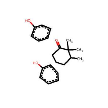 CC1CCCC(=O)C1(C)C.Oc1ccccc1.Oc1ccccc1